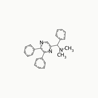 CN(C)C(c1ccccc1)c1cnc(-c2ccccc2)c(-c2ccccc2)n1